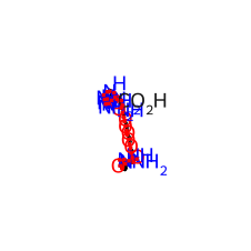 Cc1nn(-c2ccc(C(N)=O)c(NCCCOCCOCCOCCOCCOCCCNC(=O)CCC(NC(=O)c3ccc(N(C)Cc4cnc5nc(N)nc(N)c5n4)cc3)C(=O)O)c2)c2c1C(=O)CC(C)(C)C2